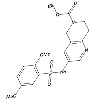 COc1ccc(OC)c(S(=O)(=O)Nc2cnc3c(c2)CN(C(=O)OC(C)(C)C)CC3)c1